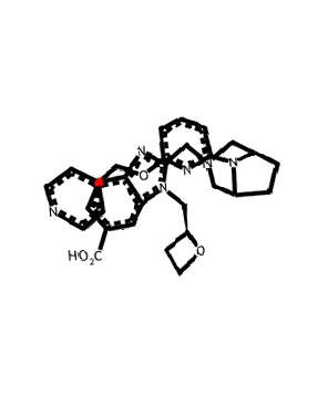 O=C(O)c1ccc2nc(CN3CC4CCC(C3)N4c3cccc(OCc4ccncc4)n3)n(C[C@@H]3CCO3)c2c1